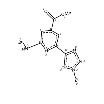 CCC(C)Nc1cc(C(=O)OC)cc(-c2nnn(CC)n2)n1